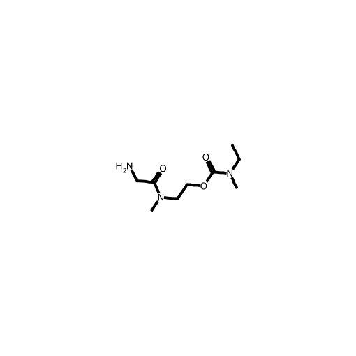 CCN(C)C(=O)OCCN(C)C(=O)CN